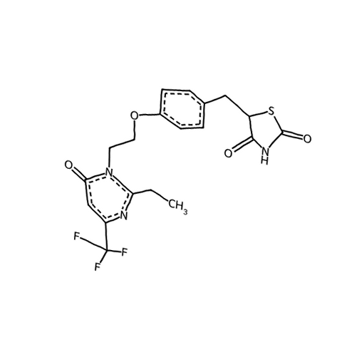 CCc1nc(C(F)(F)F)cc(=O)n1CCOc1ccc(CC2SC(=O)NC2=O)cc1